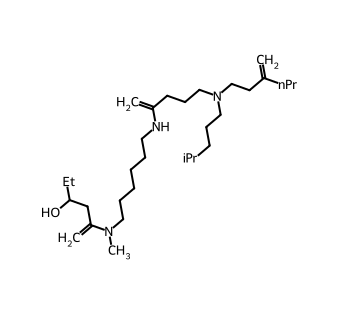 C=C(CCC)CCN(CCCC(=C)NCCCCCCN(C)C(=C)CC(O)CC)CCCC(C)C